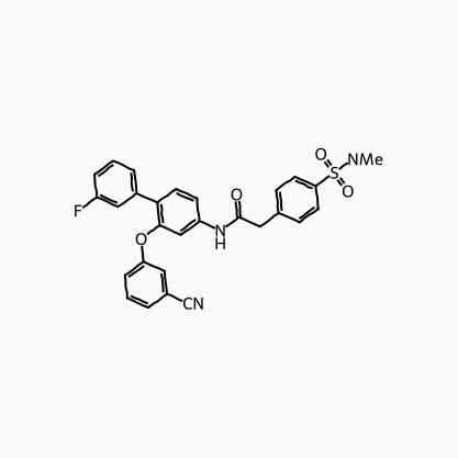 CNS(=O)(=O)c1ccc(CC(=O)Nc2ccc(-c3cccc(F)c3)c(Oc3cccc(C#N)c3)c2)cc1